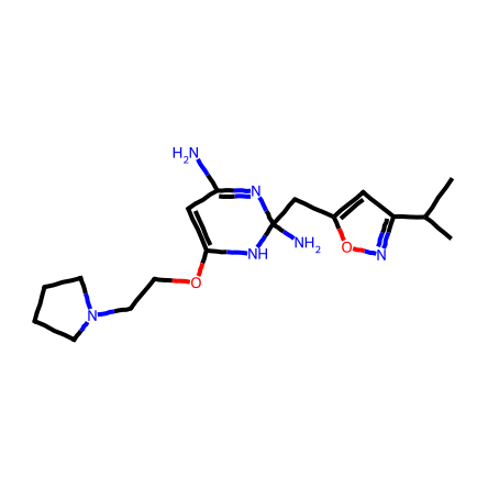 CC(C)c1cc(CC2(N)N=C(N)C=C(OCCN3CCCC3)N2)on1